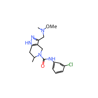 CON(C)Cc1n[nH]c2c1CN(C(=O)Nc1cccc(Cl)c1)C(C)C2